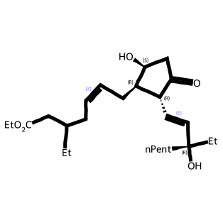 CCCCC[C@@](O)(/C=C/[C@H]1C(=O)C[C@H](O)[C@@H]1C/C=C\CC(CC)CC(=O)OCC)CC